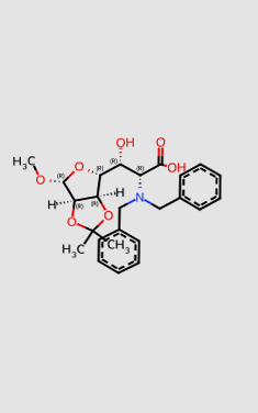 CO[C@@H]1O[C@H]([C@H](O)[C@H](C(=O)O)N(Cc2ccccc2)Cc2ccccc2)[C@H]2OC(C)(C)O[C@@H]12